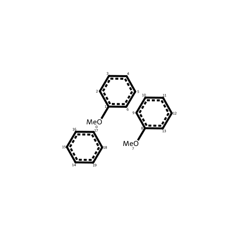 COc1ccccc1.COc1ccccc1.c1ccccc1